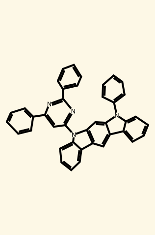 c1ccc(-c2cc(-n3c4ccccc4c4cc5c6ccccc6n(-c6ccccc6)c5cc43)nc(-c3ccccc3)n2)cc1